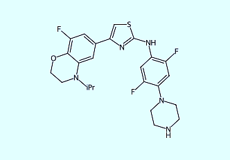 CC(C)N1CCOc2c(F)cc(-c3csc(Nc4cc(F)c(N5CCNCC5)cc4F)n3)cc21